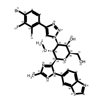 CO[C@@H]1[C@@H](n2cc(-c3ccc(Br)c(F)c3F)nn2)[C@@H](O)[C@@H](CO)O[C@H]1c1nc(C)nn1-c1ccc2ncsc2c1